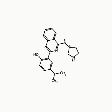 CC(C)c1ccc(O)c(-c2nc(N[C@H]3CCNC3)c3ccccc3n2)c1